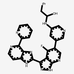 CC(C)CC(O)Nc1cncc(-c2cnc3[nH]nc(-c4nc5c(-c6ccccn6)nccc5[nH]4)c3c2F)c1